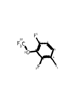 Fc1ccc(I)c(F)c1OC(F)(F)F